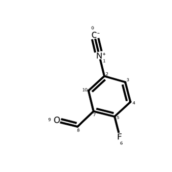 [C-]#[N+]c1ccc(F)c(C=O)c1